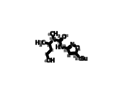 CC(CCO)N(C)C(=O)Nc1cc(C(C)(C)C)on1